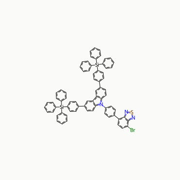 Brc1ccc(-c2ccc(-n3c4ccc(-c5ccc([Si](c6ccccc6)(c6ccccc6)c6ccccc6)cc5)cc4c4cc(-c5ccc([Si](c6ccccc6)(c6ccccc6)c6ccccc6)cc5)ccc43)cc2)c2nsnc12